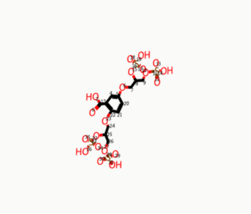 O=C(O)c1cc(OCC(COS(=O)(=O)O)OS(=O)(=O)O)ccc1OCC(COS(=O)(=O)O)OS(=O)(=O)O